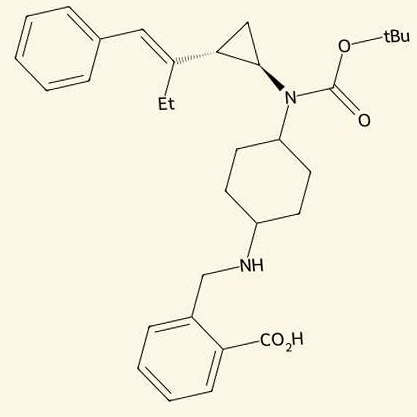 CC/C(=C\c1ccccc1)[C@@H]1C[C@H]1N(C(=O)OC(C)(C)C)C1CCC(NCc2ccccc2C(=O)O)CC1